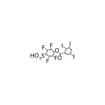 O=C(Oc1c(F)c(F)c(S(=O)(=O)O)c(F)c1F)c1cc(I)cc(I)c1I